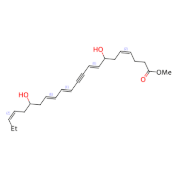 CC/C=C\CC(O)C/C=C/C=C/C#C/C=C/C(O)C/C=C\CCC(=O)OC